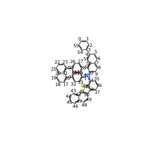 c1ccc(-c2ccc3ccc(N(c4ccc(-c5cccc6cccc(-c7ccccc7)c56)cc4)c4cccc5c4sc4c6ccccc6ccc54)cc3c2)cc1